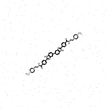 CN1CCN(CCNC(=O)c2ccc(-c3nc4cc(-c5ccc6[nH]c(-c7ccc(C(=O)NCCN8CCN(C)CC8)cc7)nc6c5)ccc4[nH]3)cc2)CC1